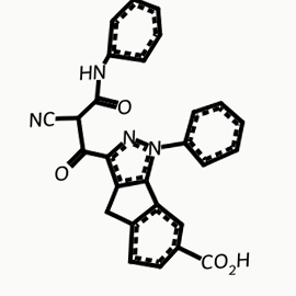 N#CC(C(=O)Nc1ccccc1)C(=O)c1nn(-c2ccccc2)c2c1Cc1ccc(C(=O)O)cc1-2